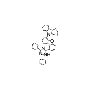 c1ccc(C2=NC(c3ccccc3)NC(c3cccc4oc5c(-n6c7ccccc7c7ccccc76)cccc5c34)=N2)cc1